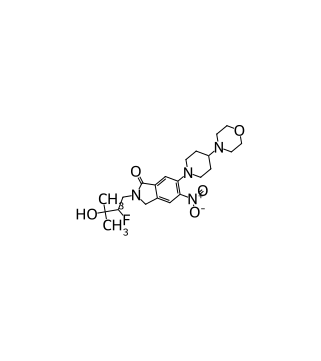 CC(C)(O)C(F)CN1Cc2cc([N+](=O)[O-])c(N3CCC(N4CCOCC4)CC3)cc2C1=O